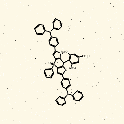 COc1cc(C(=O)O)cc(OC)c1C1c2sc(-c3ccc(N(c4ccccc4)c4ccccc4)cc3)cc2P(=O)(c2ccccc2)c2cc(-c3ccc(N(c4ccccc4)c4ccccc4)cc3)sc21